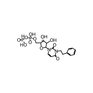 O=c1ccn(C2OC(COP(=O)(O)O[PH](=O)O)[C@H](O)C2O)c(=O)n1CCc1ccccc1